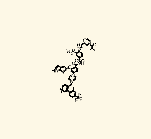 Cc1cc(C(F)(F)F)ccc1C1=C(CN2CCN(c3ccc(C(=O)NS(=O)(=O)c4ccc(NCCC5CN(C(=O)C(C)C)CCO5)c(N)c4)c(Oc4cnc5[nH]ccc5c4)c3)CC2)CCC(C)(C)C1